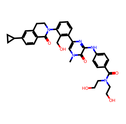 Cn1cc(-c2cccc(N3CCc4cc(C5CC5)ccc4C3=O)c2CO)nc(Nc2ccc(C(=O)N(CCO)CCO)cc2)c1=O